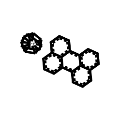 [CH]12[CH]3[CH]4[CH]5[CH]1[Fe]23451678[CH]2[CH]1[CH]6[CH]7[CH]28.c1cc2cccc3c4cccc5cccc(c(c1)c23)c54